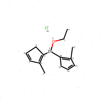 CC[O][Zr+]([C]1=C(C)C=CC1)[C]1=C(C)C=CC1.[Cl-]